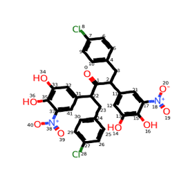 O=C(C(Cc1ccc(Cl)cc1)c1cc(O)c(O)c([N+](=O)[O-])c1)C(Cc1ccc(Cl)cc1)c1cc(O)c(O)c([N+](=O)[O-])c1